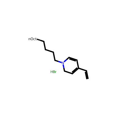 Br.C=CC1=CCN(CCCCCCCCCCCC)C=C1